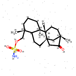 C[C@@]12CC[C@@H]3[C@@](CCC4[C@](C)(COS(N)(=O)=O)CCC[C@]43C)(CC1=O)C2